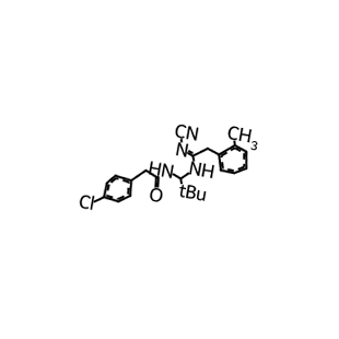 Cc1ccccc1C/C(=N\C#N)NC(NC(=O)Cc1ccc(Cl)cc1)C(C)(C)C